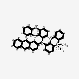 C[Si]1(C)c2ccccc2Oc2c(N(c3ccc4cc5ccccc5cc4c3)c3cccc4c3Oc3ccccc3S4)cccc21